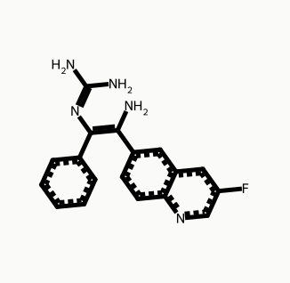 NC(N)=N/C(=C(\N)c1ccc2ncc(F)cc2c1)c1ccccc1